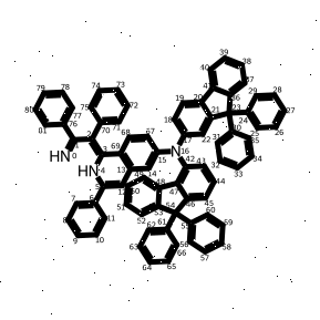 N=C(/C(=C1\NC(c2ccccc2)=Cc2cc(N(c3ccc4c(c3)C(c3ccccc3)(c3ccccc3)c3ccccc3-4)c3cccc4c3-c3ccccc3C4(c3ccccc3)c3ccccc3)ccc21)c1ccccc1)c1ccccc1